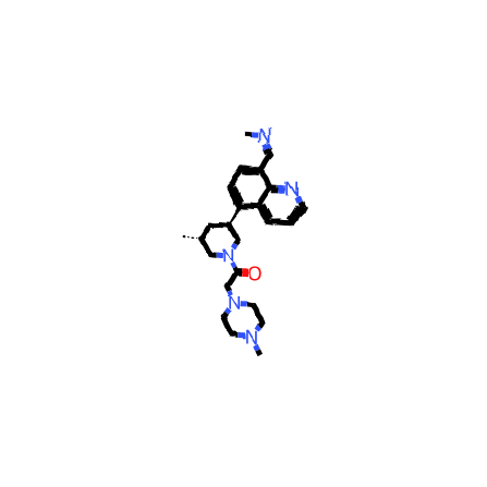 C/N=C\c1ccc([C@@H]2C[C@@H](C)CN(C(=O)CN3CCN(C)CC3)C2)c2cccnc12